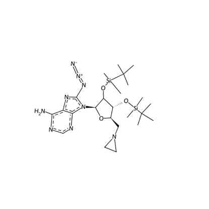 CC(C)(C)[Si](C)(C)OC1[C@H](n2c(N=[N+]=[N-])nc3c(N)ncnc32)O[C@H](CN2CC2)[C@H]1O[Si](C)(C)C(C)(C)C